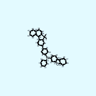 CC1(C)c2cc(-c3ccc(N(c4ccccc4)c4ccc5c(c4)oc4ccccc45)cc3)ccc2-c2c1ccc1ccccc21